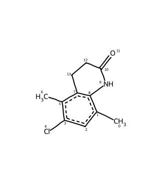 Cc1cc(Cl)c(C)c2c1NC(=O)CC2